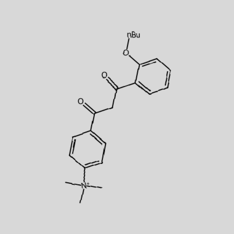 CCCCOc1ccccc1C(=O)CC(=O)c1ccc([N+](C)(C)C)cc1